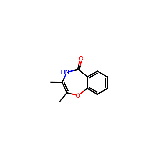 CC1=C(C)Oc2ccccc2C(=O)N1